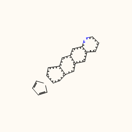 B1C=CC=C1.c1ccc2cc3cc4ncccc4cc3cc2c1